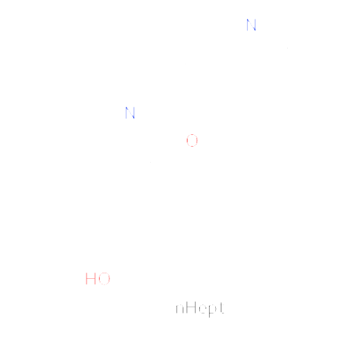 CCCCCCCC(O)CCC(=O)N1CCCCC1c1cccnc1